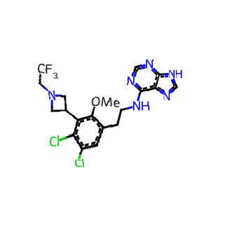 COc1c(CCNc2ncnc3[nH]cnc23)cc(Cl)c(Cl)c1C1CN(CC(F)(F)F)C1